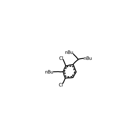 CCCC[C](CCCC)c1ccc(Cl)c(CCCC)c1Cl